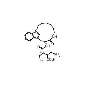 CC(C)C[C@@H](C(=O)N[C@H]1Cc2cn(c3ccccc23)CCCCCCNC1=O)C(CN)C(=O)O